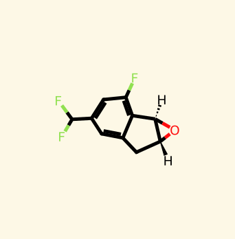 Fc1cc(C(F)F)cc2c1[C@H]1O[C@@H]1C2